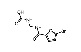 O=C(O)NCNC(=O)c1ccc(Br)o1